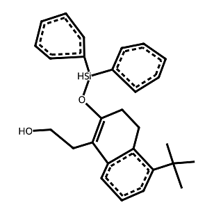 CC(C)(C)c1cccc2c1CCC(O[SiH](c1ccccc1)c1ccccc1)=C2CCO